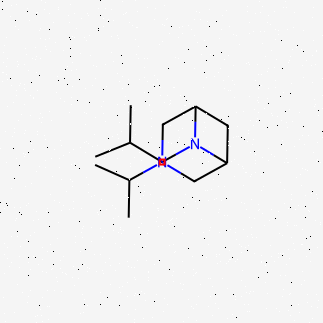 CC(C)CN1C2CC1CN(C(C)C)C2